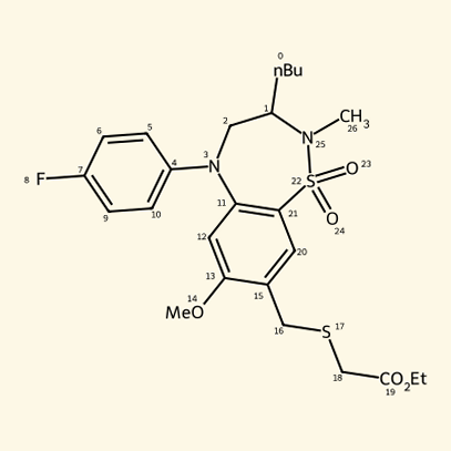 CCCCC1CN(c2ccc(F)cc2)c2cc(OC)c(CSCC(=O)OCC)cc2S(=O)(=O)N1C